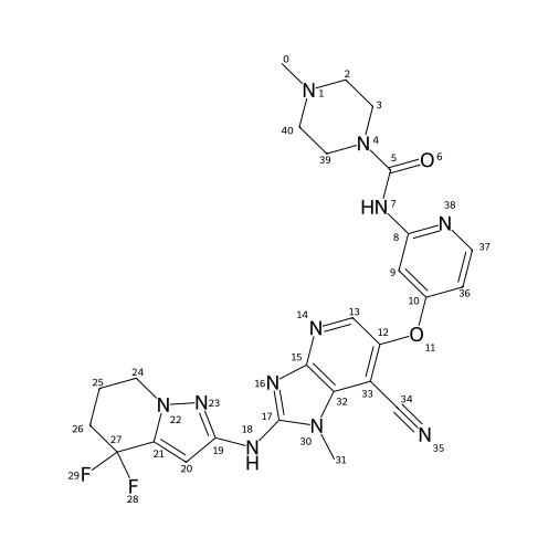 CN1CCN(C(=O)Nc2cc(Oc3cnc4nc(Nc5cc6n(n5)CCCC6(F)F)n(C)c4c3C#N)ccn2)CC1